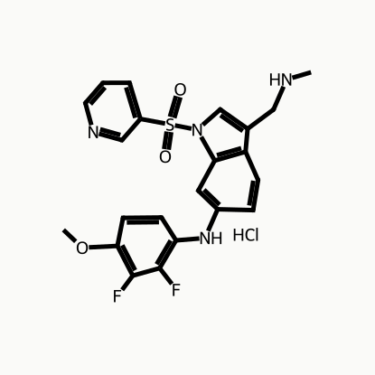 CNCc1cn(S(=O)(=O)c2cccnc2)c2cc(Nc3ccc(OC)c(F)c3F)ccc12.Cl